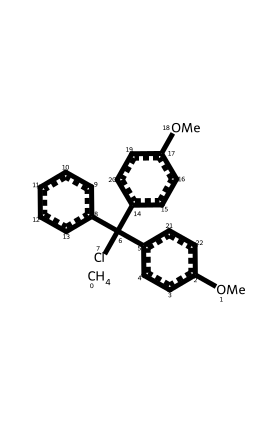 C.COc1ccc(C(Cl)(c2ccccc2)c2ccc(OC)cc2)cc1